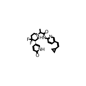 CC(C(=O)Nc1ccc(/C=C\C2CC2)cn1)N1CCC(F)(F)[C@@H](c2ccc(=O)[nH]c2)C1